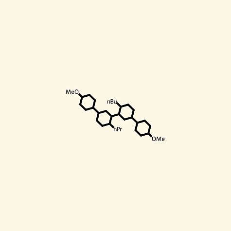 CCCCC1CCC(C2CCC(OC)CC2)CC1C1CC(C2CCC(OC)CC2)CCC1CCC